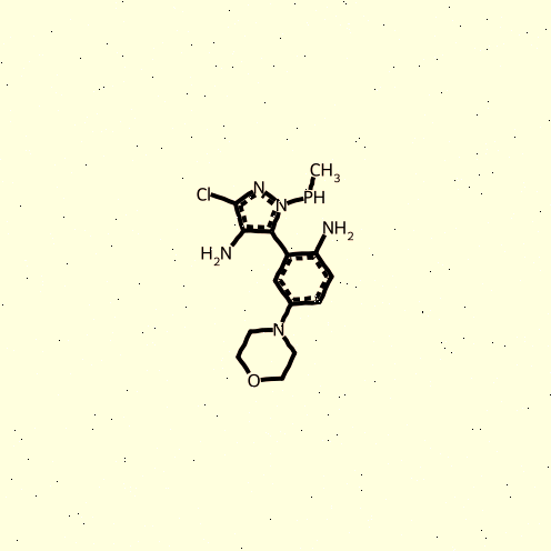 CPn1nc(Cl)c(N)c1-c1cc(N2CCOCC2)ccc1N